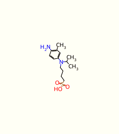 Cc1cc(N(CCCCS(=O)(=O)O)C(C)C)ccc1N